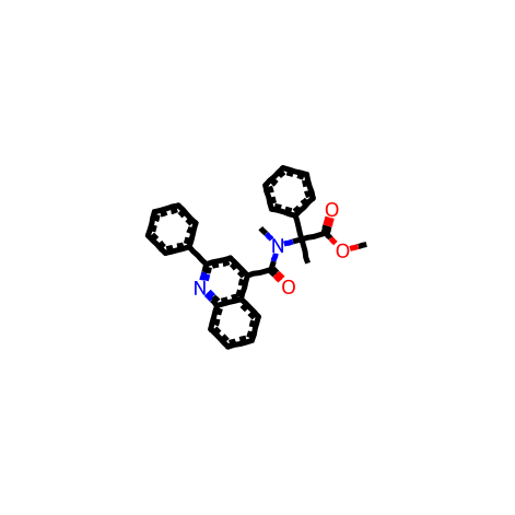 COC(=O)C(C)(c1ccccc1)N(C)C(=O)c1cc(-c2ccccc2)nc2ccccc12